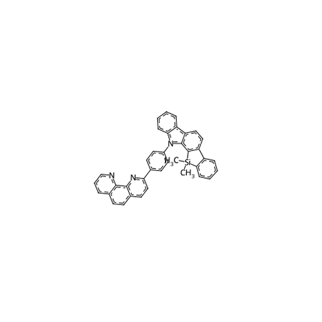 C[Si]1(C)c2ccccc2-c2ccc3c4ccccc4n(-c4ccc(-c5ccc6ccc7cccnc7c6n5)cc4)c3c21